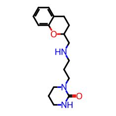 O=C1NCCCN1CCCNCC1CCc2ccccc2O1